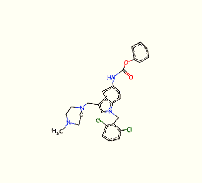 CN1CCN(Cc2cn(Cc3c(Cl)cccc3Cl)c3ccc(NC(=O)Oc4ccccc4)cc23)CC1